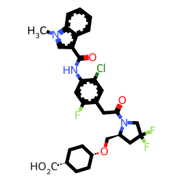 Cn1cc(C(=O)Nc2cc(F)c(CC(=O)N3CC(F)(F)C[C@H]3CO[C@H]3CC[C@@H](C(=O)O)CC3)cc2Cl)c2ccccc21